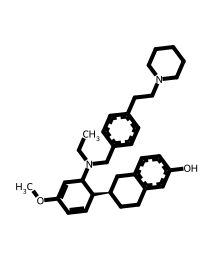 CCN(Cc1ccc(CCN2CCCCC2)cc1)C1C=C(OC)C=CC1[C@@H]1CCc2cc(O)ccc2C1